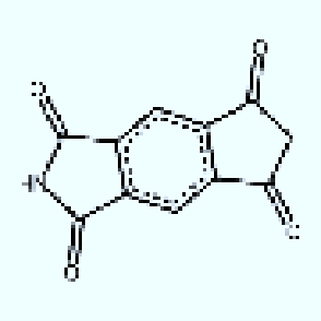 O=C1CC(=O)c2cc3c(cc21)C(=O)NC3=O